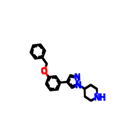 c1ccc(COc2cccc(-c3cnn(C4CCNCC4)c3)c2)cc1